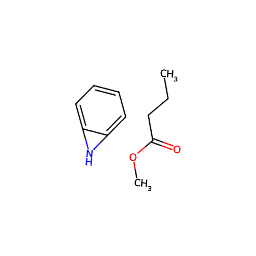 CCCC(=O)OC.c1ccc2c(c1)N2